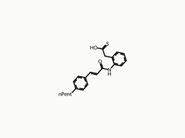 CCCCCc1ccc(C=CC(=O)Nc2ccccc2CC(O)=S)cc1